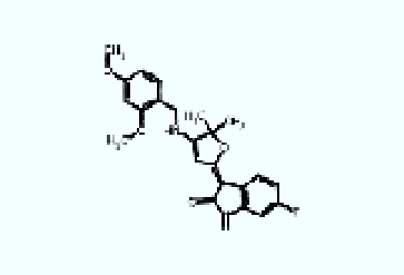 COc1ccc(CNC2=C/C(=C3\C(=O)Nc4cc(F)ccc43)OC2(C)C)c(OC)c1